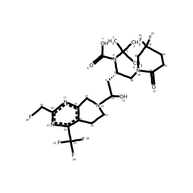 CC(C)(C)N(C(=O)O)[C@@H](CC(O)N1CCc2c(nc(CF)nc2C(F)(F)F)C1)CN1CC(F)(F)CCC1=O